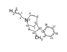 C=CCN1CCC2CC1CC(C)C2c1ccccc1